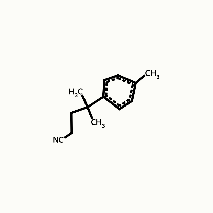 Cc1ccc(C(C)(C)CCC#N)cc1